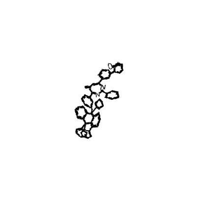 C=C1C=C(c2ccc3oc4ccccc4c3c2)N=C(c2ccccc2)N=C1c1cccc(C2(c3ccccc3)c3ccccc3C3(c4ccccc4)c4c(cccc42)C2=CC=CCC23)c1